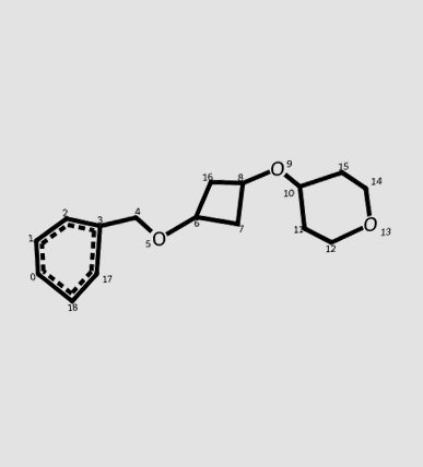 c1ccc(COC2CC(OC3CCOCC3)C2)cc1